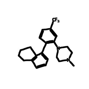 CN1CCN(c2cc(C(F)(F)F)ccc2-c2cccc3c2CCCC3)CC1